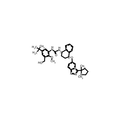 COc1c(CO)cc(C(C)(C)C)cc1NC(=O)N[C@H]1CC[C@@H](Oc2ccc3nnc(C4(C)CCCN4C)n3c2)c2ccccc21